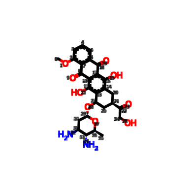 COc1cccc2c1C(=O)c1c(O)c3c(c(O)c1C2=O)C[C@@H](C(=O)CO)CC3O[C@H]1C[C@H](N)[C@@H](N)[C@H](C)O1